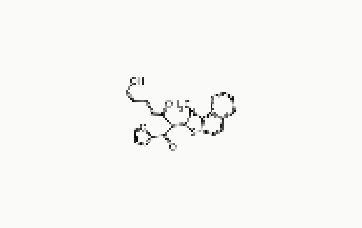 CN1/C(=C(\C(=O)/C=C/C=C\O)C(=O)c2ccco2)Sc2ccc3ccccc3c21